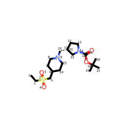 CCS(=O)(=O)CC1CCN(C[C@@H]2CCN(C(=O)OC(C)(C)C)C2)CC1